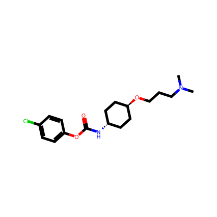 CN(C)CCCO[C@H]1CC[C@H](NC(=O)Oc2ccc(Cl)cc2)CC1